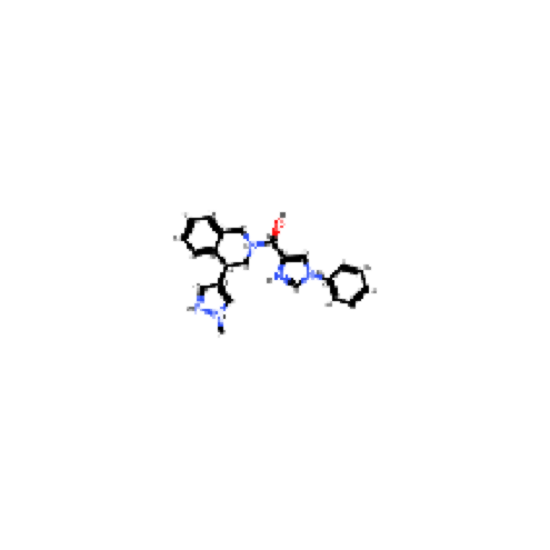 Cn1cc(C2CN(C(=O)c3cn(-c4ccccc4)cn3)Cc3ccccc32)cn1